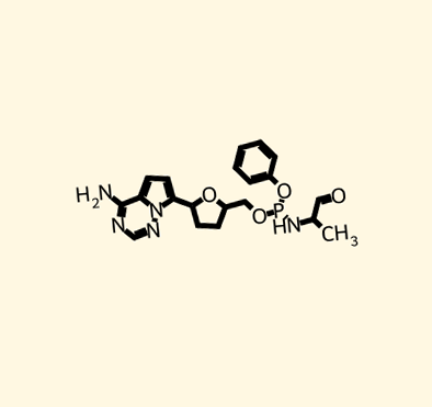 CC(C=O)NP(OCC1CCC(c2ccc3c(N)ncnn23)O1)Oc1ccccc1